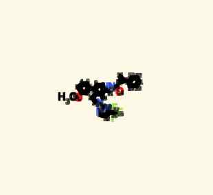 COc1cccc(-c2ccc(CNC(=O)[C@H]3C[C@@H]3c3ccccc3)c3c2CCN(c2nccc(C(F)(F)F)n2)C3)c1